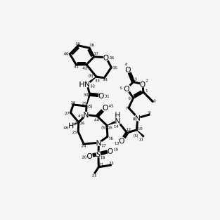 Cc1oc(=O)oc1CN(C)[C@@H](C)C(=O)N[C@H]1CN(S(=O)(=O)C(C)C)CC[C@H]2CC[C@@H](C(=O)N[C@@H]3CCOc4ccccc43)N2C1=O